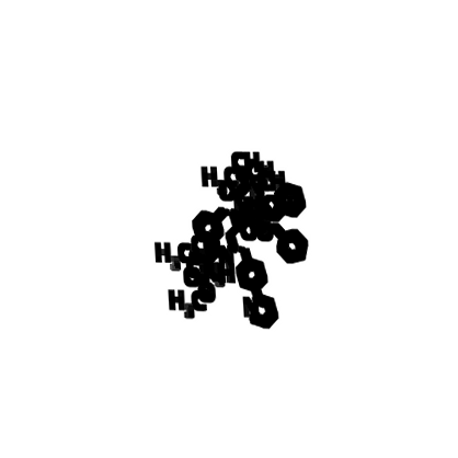 COC(=O)N[C@H](C(=O)N[C@@H](Cc1ccc(-c2ccccn2)cc1)C[C@H](OP(=O)(OCc1ccccc1)OCc1ccccc1)[C@H](Cc1ccccc1)NC(=O)[C@@H](N(C)C(=O)O)C(C)(C)C)C(C)(C)C